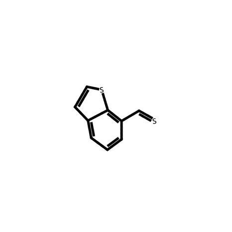 S=Cc1cccc2ccsc12